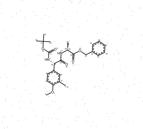 COc1ccc([C@H](NC(=O)OC(C)(C)C)C(=O)N[C@@H](C)C(=O)OCc2ccccc2)cc1I